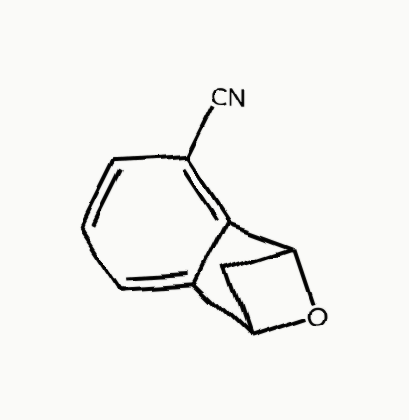 N#Cc1cccc2c1C1CC2O1